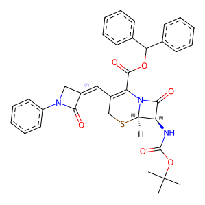 CC(C)(C)OC(=O)N[C@@H]1C(=O)N2C(C(=O)OC(c3ccccc3)c3ccccc3)=C(/C=C3/CN(c4ccccc4)C3=O)CS[C@H]12